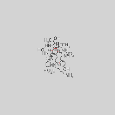 C[C@H](NC(=O)[C@H](Cc1ccc(O)cc1)N[N+](=O)[O-])C(=O)N[C@H](C(=O)N[C@@H](CO)C(=O)N[C@@H](Cc1ccccc1)C(=O)N[C@@H](Cc1ccccc1)C(=O)N[C@@H](CCCCN)C(=O)O)[C@@H](C)O